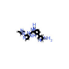 Cc1cn(-c2nccc3[nH]c(-c4n[nH]c5ccc(-c6cncc(N)c6)cc45)nc23)cn1